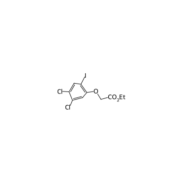 CCOC(=O)COc1cc(Cl)c(Cl)cc1I